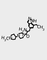 CCc1cc(CC(N)C(=O)N2CCN(C3CCN(C)CC3)CC2)cc2cn[nH]c12